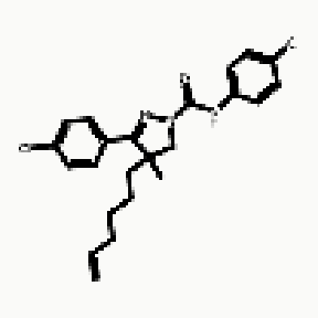 C=CCCCCC1(C)CN(C(=O)Nc2ccc(Cl)cc2)N=C1c1ccc(Cl)cc1